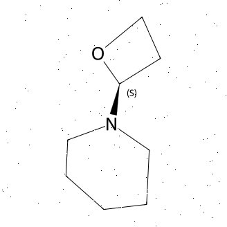 C1CCN([C@@H]2CCO2)CC1